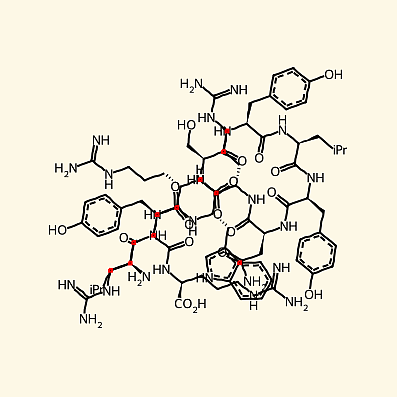 CC(C)C[C@H](NC(=O)[C@H](Cc1ccc(O)cc1)NC(=O)[C@H](CO)NC(=O)[C@H](Cc1c[nH]c2ccccc12)NC(=O)[C@H](Cc1ccc(O)cc1)NC(=O)[C@@H](N)CC(C)C)C(=O)N[C@@H](Cc1ccc(O)cc1)C(=O)N[C@@H](CC(N)=O)C(=O)N[C@@H](CCCNC(=N)N)C(=O)N[C@@H](CCCNC(=N)N)C(=O)N[C@@H](CCCNC(=N)N)C(=O)N[C@@H](CCCNC(=N)N)C(=O)O